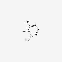 Cc1c([O])cccc1C(C)(C)C